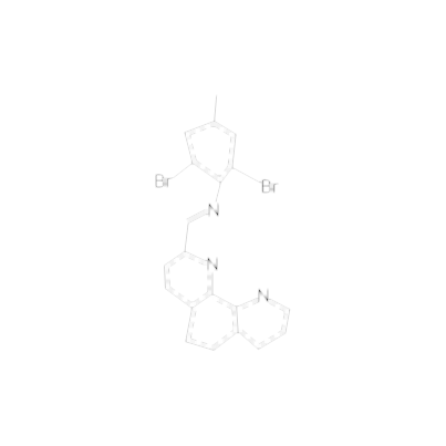 Cc1cc(Br)c(N=Cc2ccc3ccc4cccnc4c3n2)c(Br)c1